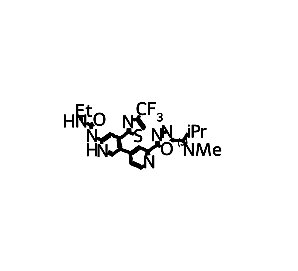 CCNC(=O)Nc1cc(-c2nc(C(F)(F)F)cs2)c(-c2ccnc(-c3nnc([C@@H](NC)C(C)C)o3)c2)cn1